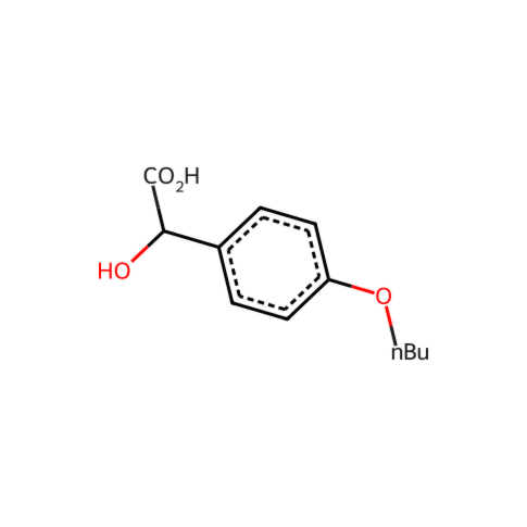 CCCCOc1ccc(C(O)C(=O)O)cc1